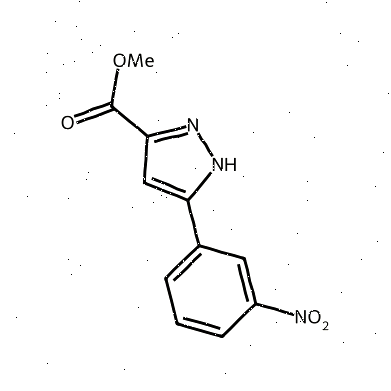 COC(=O)c1cc(-c2cccc([N+](=O)[O-])c2)[nH]n1